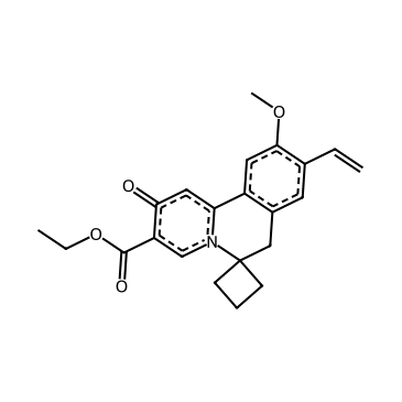 C=Cc1cc2c(cc1OC)-c1cc(=O)c(C(=O)OCC)cn1C1(CCC1)C2